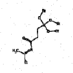 CCO[Si](CCC(=O)/N=C(\C)CC)(OCC)OCC